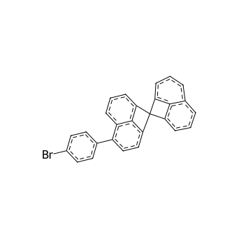 Brc1ccc(-c2ccc3c4c(cccc24)C32c3cccc4cccc2c34)cc1